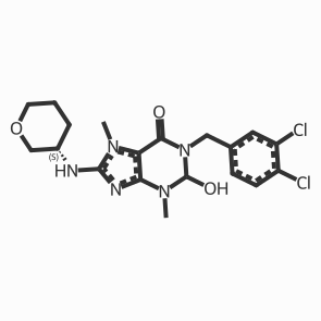 CN1c2nc(N[C@H]3CCCOC3)n(C)c2C(=O)N(Cc2ccc(Cl)c(Cl)c2)C1O